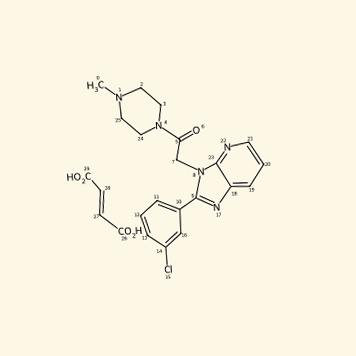 CN1CCN(C(=O)Cn2c(-c3cccc(Cl)c3)nc3cccnc32)CC1.O=C(O)/C=C/C(=O)O